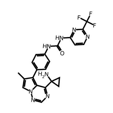 Cc1cn2ncnc(C3(N)CC3)c2c1-c1ccc(NC(=O)Nc2ccnc(C(F)(F)F)n2)cc1